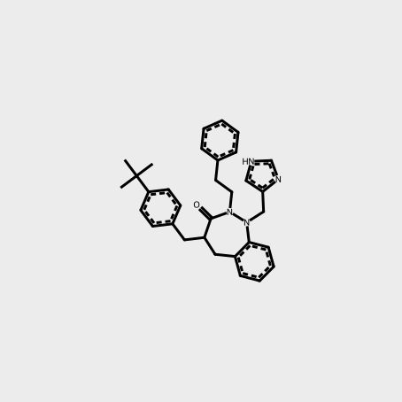 CC(C)(C)c1ccc(CC2Cc3ccccc3N(Cc3c[nH]cn3)N(CCc3ccccc3)C2=O)cc1